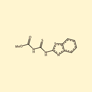 COC(=O)NC(=S)Nc1nc2ccccc2s1